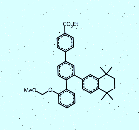 CCOC(=O)c1ccc(-c2ccc(-c3ccccc3OCOC)c(-c3ccc4c(c3)C(C)(C)CCC4(C)C)c2)cc1